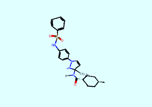 CC(C)N(C(=O)[C@H]1CC[C@H](C)CC1)C1(C(=O)O)C=CN(c2ccc(NS(=O)(=O)c3ccccc3)cc2)N1